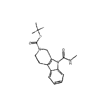 CNC(=O)n1c2c(c3ccccc31)CCN(C(=O)OC(C)(C)C)C2